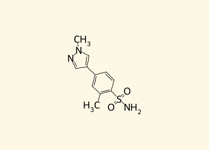 Cc1cc(-c2cnn(C)c2)ccc1S(N)(=O)=O